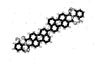 CC(C)c1cccc(C(C)C)c1N1C(=O)c2ccc3c4cccc5c(-c6ccc7c8ccc9c%10c(ccc(c%11cccc6c%117)c%108)C(=O)N(c6c(C(C)C)cccc6C(C)C)C9=O)ccc(c6ccc(c2c36)C1=O)c54